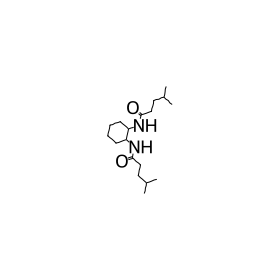 CC(C)CCC(=O)NC1CCCCC1NC(=O)CCC(C)C